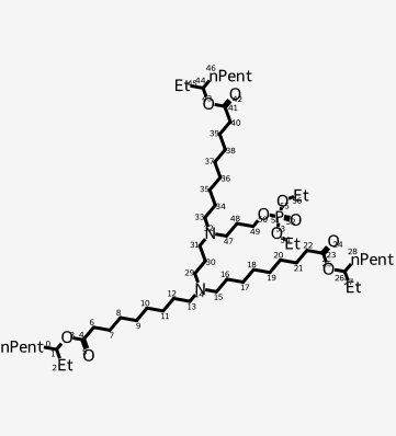 CCCCCC(CC)OC(=O)CCCCCCCCN(CCCCCCCCC(=O)OC(CC)CCCCC)CCCN(CCCCCCCCC(=O)OC(CC)CCCCC)CCCOP(=O)(OCC)OCC